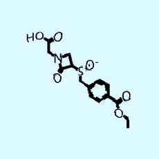 CCOC(=O)c1ccc(C[S+]([O-])C2CN(CC(=O)O)C2=O)cc1